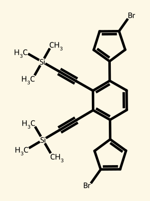 C[Si](C)(C)C#Cc1c(C2=CC=C(Br)C2)ccc(C2=CC=C(Br)C2)c1C#C[Si](C)(C)C